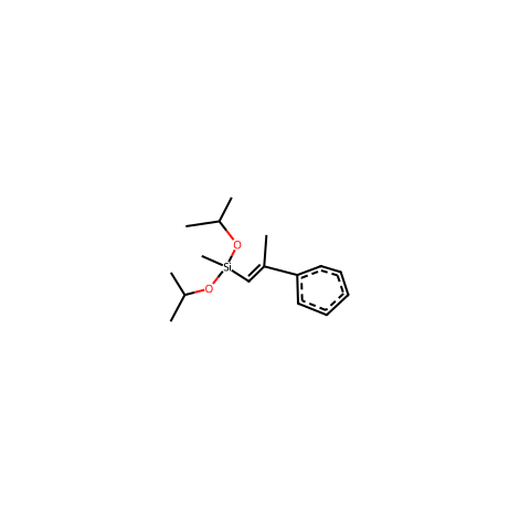 CC(=C[Si](C)(OC(C)C)OC(C)C)c1ccccc1